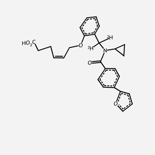 [2H]C([2H])(c1ccccc1OC/C=C\CCC(=O)O)N(C(=O)c1ccc(-c2ccco2)cc1)C1CC1